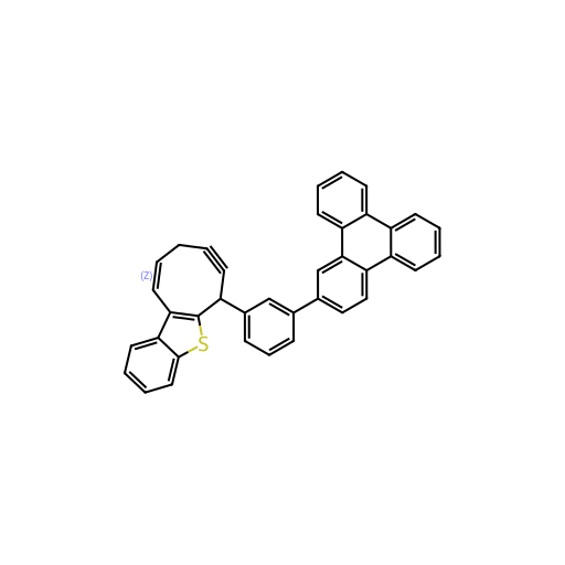 C1#CC(c2cccc(-c3ccc4c5ccccc5c5ccccc5c4c3)c2)c2sc3ccccc3c2/C=C\C1